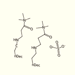 CCCCCCCCCCCCNCCC(=O)[N+](C)(C)C.CCCCCCCCCCCCNCCC(=O)[N+](C)(C)C.O=S(=O)([O-])[O-]